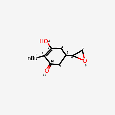 CCCCC1=C(O)CC(C2CO2)CC1=O